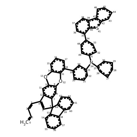 C=C/C=C\C1=CC2(c3cc4c(cc31)Oc1cccc(-c3cccc(N(c5ccccc5)c5ccc(-c6cccc7c6sc6ccccc67)cc5)c3)c1O4)c1ccccc1-c1ccccc12